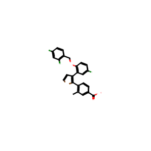 Cc1cc(C(=O)O)ccc1-c1sccc1-c1cc(Cl)ccc1OCc1ccc(F)cc1Cl